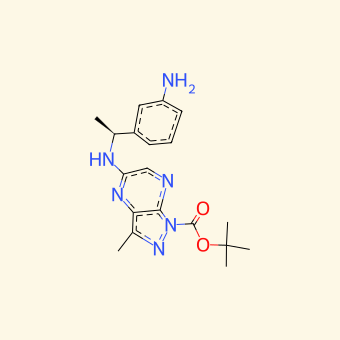 Cc1nn(C(=O)OC(C)(C)C)c2ncc(N[C@@H](C)c3cccc(N)c3)nc12